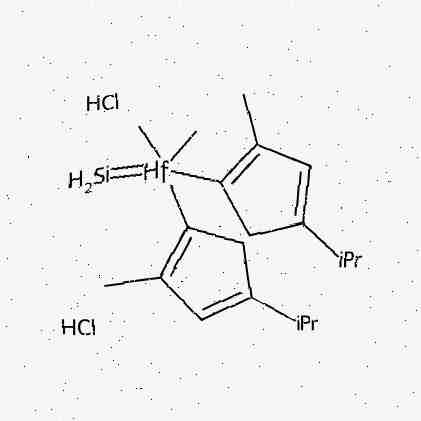 CC1=[C]([Hf]([CH3])([CH3])(=[SiH2])[C]2=C(C)C=C(C(C)C)C2)CC(C(C)C)=C1.Cl.Cl